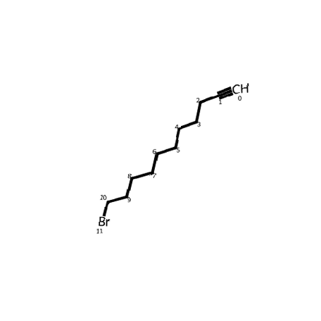 C#CCCCCCCCCCBr